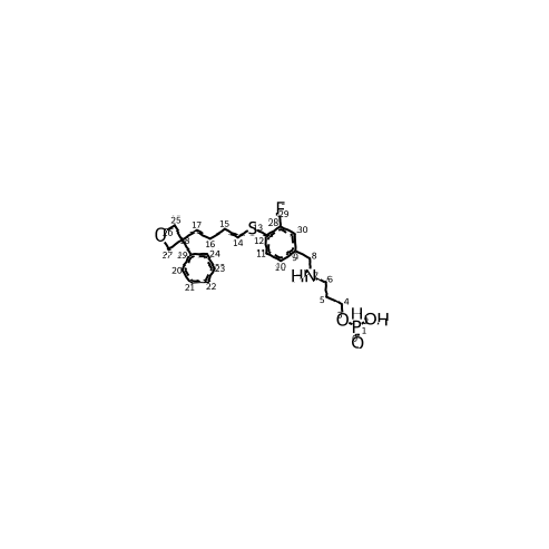 O=[PH](O)OCCCNCc1ccc(SCCCCC2(c3ccccc3)COC2)c(F)c1